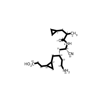 CC(CC1CC1)C(=O)N[C@H](C#N)C[C@H](CCN)CC1CC1CCC(=O)O